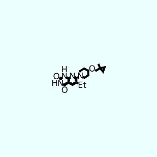 CCc1cc2c(=O)[nH]c(=O)[nH]c2nc1N1CCC(OCC2(C)CC2)CC1